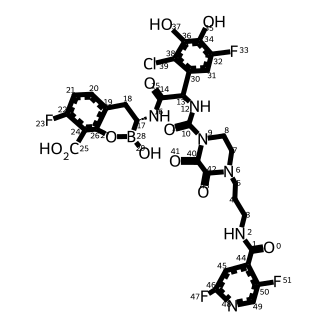 O=C(NCCCN1CCN(C(=O)NC(C(=O)N[C@H]2Cc3ccc(F)c(C(=O)O)c3OB2O)c2cc(F)c(O)c(O)c2Cl)C(=O)C1=O)c1cc(F)ncc1F